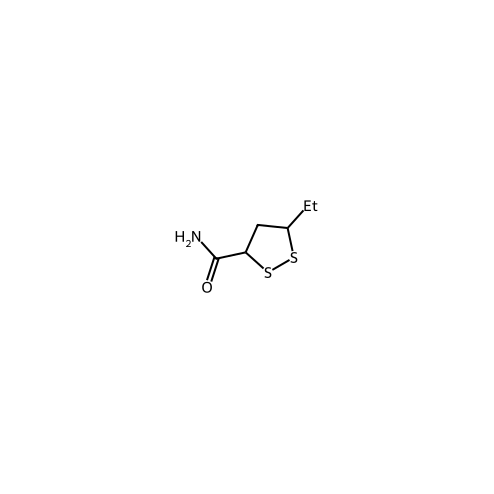 CCC1CC(C(N)=O)SS1